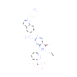 C=CCn1c(=O)c2cnc(Nc3ccc4c(ccn4C4CCN(C)CC4)c3)nc2n1-c1ccc2c(n1)[C@](O)(CC)CO2